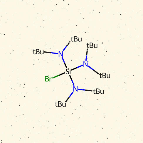 CC(C)(C)N(C(C)(C)C)[Si](Br)(N(C(C)(C)C)C(C)(C)C)N(C(C)(C)C)C(C)(C)C